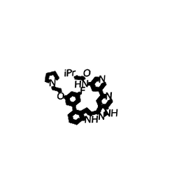 CC(C)CC(=O)Nc1cncc(-c2cc3c(-c4cc5c(-c6cc(F)cc(OCCN7CCCC7)c6)cccc5[nH]4)n[nH]c3cn2)c1